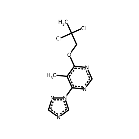 Cc1c(OCC(C)(Cl)Cl)ncnc1-n1cncn1